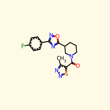 Cc1nnsc1C(=O)N1CCCC(c2nc(-c3ccc(F)cc3)no2)C1